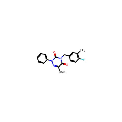 COc1nn(-c2ccccc2)c(=O)n(Cc2ccc(F)c(C(F)(F)F)c2)c1=O